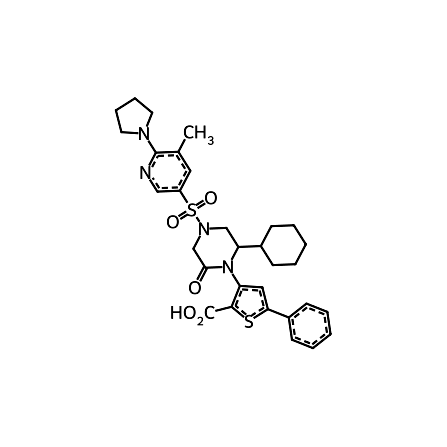 Cc1cc(S(=O)(=O)N2CC(=O)N(c3cc(-c4ccccc4)sc3C(=O)O)C(C3CCCCC3)C2)cnc1N1CCCC1